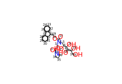 O=C(OCN(C[C@H](O)[C@@H](O)[C@H](O)[C@H](O)CO)C(=O)OCC1c2ccccc2-c2ccccc21)N1CCC1